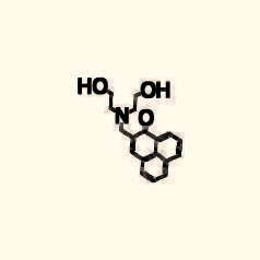 O=C1C(CN(CCO)CCO)=Cc2cccc3cccc1c23